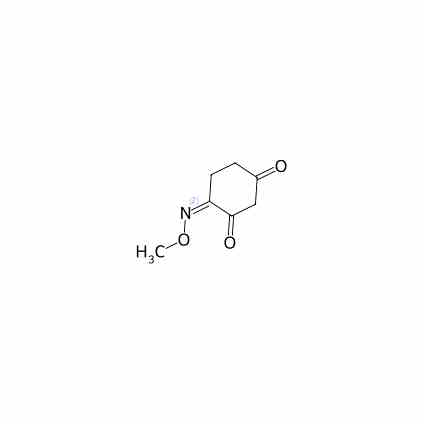 CO/N=C1/CCC(=O)CC1=O